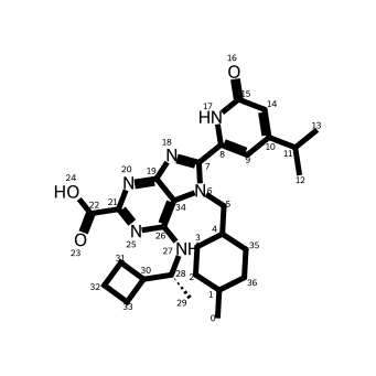 CC1CCC(Cn2c(-c3cc(C(C)C)cc(=O)[nH]3)nc3nc(C(=O)O)nc(N[C@H](C)C4CCC4)c32)CC1